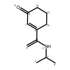 C=C(NC(C)C)C1=CC(=O)CCC1